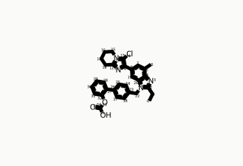 CCc1nc2c(C)cc(-c3nc4n(c3Cl)CCCC4)cc2n1Cc1ccc(-c2ccccc2OC(=O)O)cc1